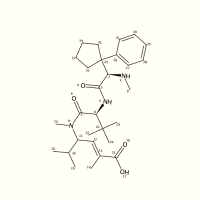 CN[C@@H](C(=O)N[C@H](C(=O)N(C)C(C=C(C)C(=O)O)C(C)C)C(C)(C)C)C1(c2ccccc2)CCCC1